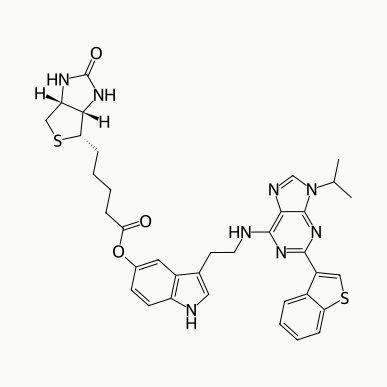 CC(C)n1cnc2c(NCCc3c[nH]c4ccc(OC(=O)CCCC[C@@H]5SC[C@@H]6NC(=O)N[C@@H]65)cc34)nc(-c3csc4ccccc34)nc21